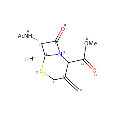 C=C1CS[C@H]2[C@H](NC(C)=O)C(=O)N2C1C(=O)OC